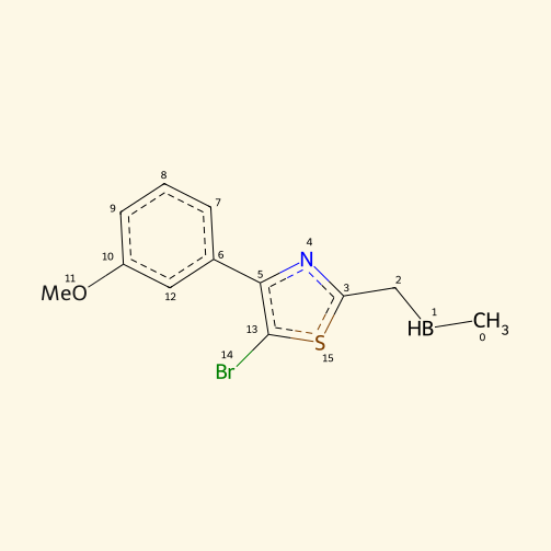 CBCc1nc(-c2cccc(OC)c2)c(Br)s1